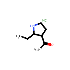 CNC(=O)C1CCNC1CC(F)(F)F.Cl